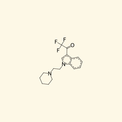 O=C(c1cn(CCN2CCCCC2)c2ccccc12)C(F)(F)F